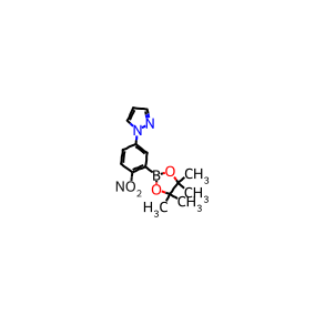 CC1(C)OB(c2cc(-n3cccn3)ccc2[N+](=O)[O-])OC1(C)C